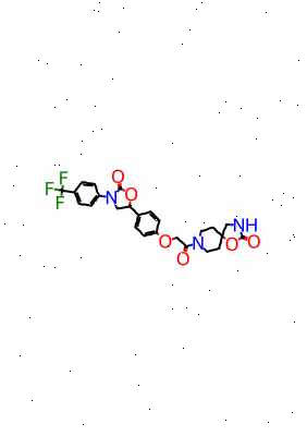 O=C1NCC2(CCN(C(=O)COc3ccc(C4CN(c5ccc(C(F)(F)F)cc5)C(=O)O4)cc3)CC2)O1